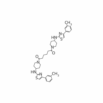 Cc1cccc(-c2csc(NC3CCN(C(=O)CCCCC(=O)N4CCC(Nc5nc(-c6cccc(C)c6)cs5)CC4)CC3)n2)c1